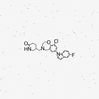 O=C1CCC(CN2CCOc3c(Cl)cc(-n4ccc5cc(F)ccc54)cc3C2)CN1